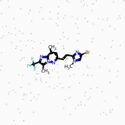 Cc1cc(/C=C/c2nc(Br)cn2C)nn2c(C)c(C(F)(F)F)nc12